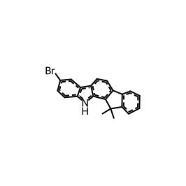 CC1(C)c2ccccc2-c2ccc3c([nH]c4ccc(Br)cc43)c21